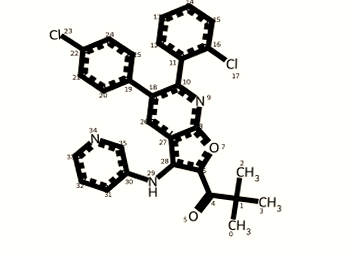 CC(C)(C)C(=O)c1oc2nc(-c3ccccc3Cl)c(-c3ccc(Cl)cc3)cc2c1Nc1cccnc1